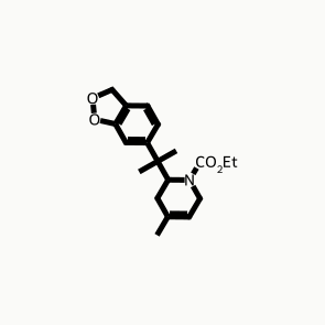 CCOC(=O)N1CC=C(C)CC1C(C)(C)c1ccc2c(c1)OOC2